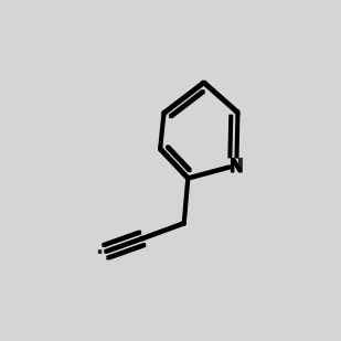 [C]#CCc1ccccn1